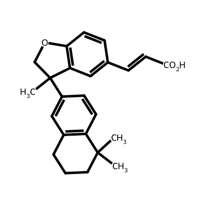 CC1(C)CCCc2cc(C3(C)COc4ccc(C=CC(=O)O)cc43)ccc21